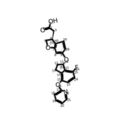 O=C(O)C[C@@H]1COc2cc(O[C@@H]3CCc4c(Oc5ccccn5)ccc(F)c43)ccc21